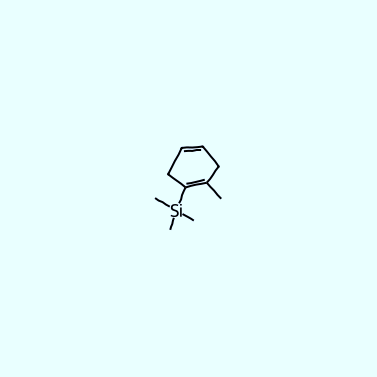 CC1=C([Si](C)(C)C)CC=CC1